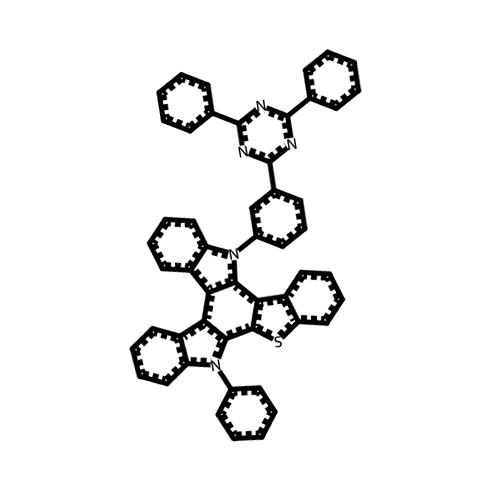 c1ccc(-c2nc(-c3ccccc3)nc(-c3cccc(-n4c5ccccc5c5c6c7ccccc7n(-c7ccccc7)c6c6sc7ccccc7c6c54)c3)n2)cc1